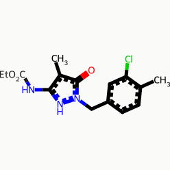 CCOC(=O)Nc1[nH]n(Cc2ccc(C)c(Cl)c2)c(=O)c1C